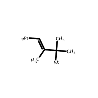 CCC/C=C(\C)C(C)(C)CC